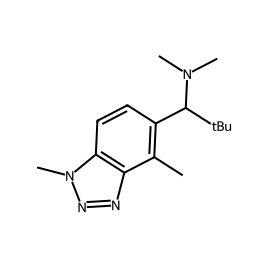 [CH2]C(C)(C)C(c1ccc2c(nnn2C)c1C)N(C)C